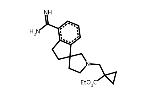 CCOC(=O)C1(CN2CCC3(CCc4c(C(=N)N)cccc43)C2)CC1